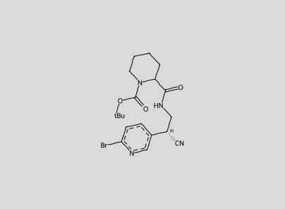 CC(C)(C)OC(=O)N1CCCCC1C(=O)NC[C@H](C#N)c1ccc(Br)nc1